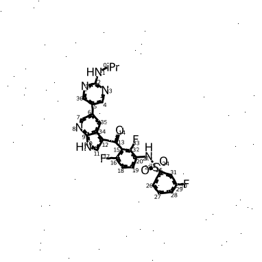 CC(C)Nc1ncc(-c2cnc3[nH]cc(C(=O)c4c(F)ccc(NS(=O)(=O)c5cccc(F)c5)c4F)c3c2)cn1